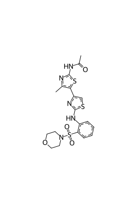 CC(=O)Nc1nc(C)c(-c2csc(Nc3ccccc3S(=O)(=O)N3CCOCC3)n2)s1